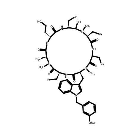 COc1cccc(Cn2cc(C[C@H]3C(=O)N[C@@H](CC(C)C)C(=O)N(C)[C@@H](C)C(=O)O[C@H](CCC#N)C(=O)N[C@@H](CC(C)C)C(O)N(C)[C@@H](CC(C)C)C(=O)NC(CC(C)C)C(=O)N3C)c3ccccc32)c1